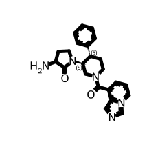 NC1CCN([C@@H]2CN(C(=O)c3cccn4cncc34)CC[C@H]2c2ccccc2)C1=O